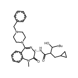 CCCCC(O)C(CC1CC1)C(=O)N[C@H]1N=C(N2CCN(Cc3ccccc3)CC2)c2ccccc2N(C)C1=O